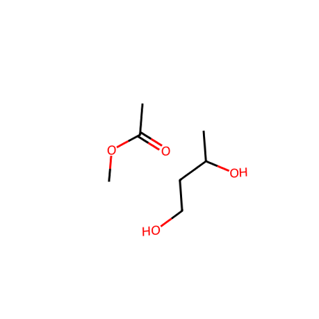 CC(O)CCO.COC(C)=O